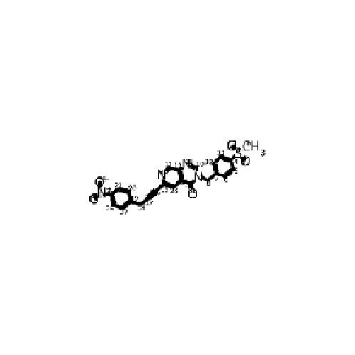 CS(=O)(=O)c1ccc(Cn2cnc3cnc(C#CCc4ccc([N+](=O)[O-])cc4)cc3c2=O)cc1